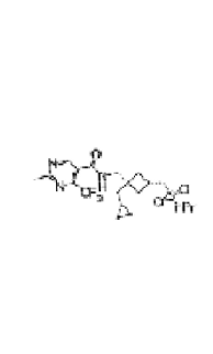 CCCS(=O)(=O)C[C@H]1C[C@](CNC(=O)c2cnc(C)nc2C(F)(F)F)(CC2CC2)C1